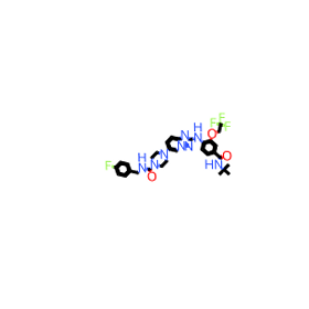 CC(C)(C)NC(=O)c1ccc(Nc2nc3ccc(N4CCN(C(=O)NCc5ccc(F)cc5)CC4)cn3n2)c(OCC(F)(F)F)c1